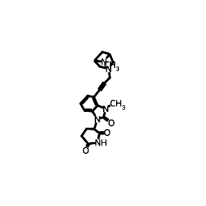 CN1C2CC1CN(CC#Cc1cccc3c1n(C)c(=O)n3C1CCC(=O)NC1=O)C2